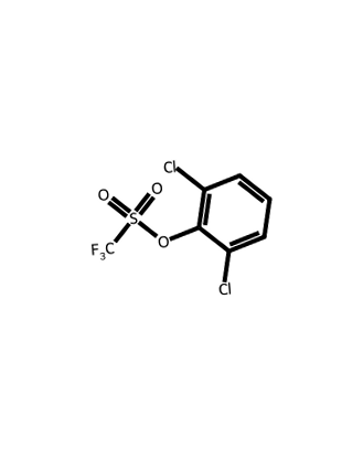 O=S(=O)(Oc1c(Cl)cccc1Cl)C(F)(F)F